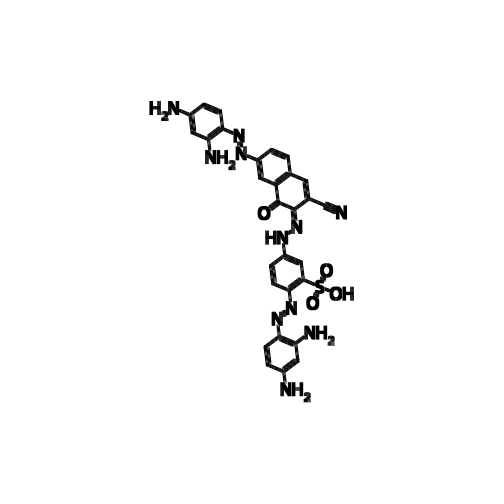 N#CC1=Cc2ccc(/N=N/c3ccc(N)cc3N)cc2C(=O)/C1=N\Nc1ccc(/N=N/c2ccc(N)cc2N)c(S(=O)(=O)O)c1